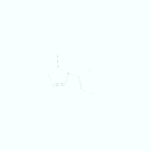 CC1=CC=C[C]1(C)[Ti]([CH2]Cl)[CH2]Cl